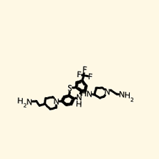 NCCC1CCN(c2ccc3c(c2)Sc2cc(C(F)(F)F)cc(NC4CCN(CCN)CC4)c2N3)CC1